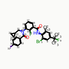 O=C(Nc1c(Br)cc(C(F)(C(F)(F)F)C(F)(F)F)cc1C(F)(F)F)c1cccc(N(CC2CC2)C(=O)c2ccc(I)cc2)c1F